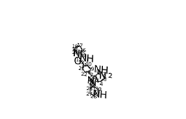 Nc1nccc2c1c(-c1ccc(C(=O)Nc3ccccn3)cc1)nn2[C@@H]1CCCNC1